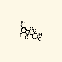 O=C1CCC(N2C(=O)c3cc(CBr)cc(F)c3C2=O)C(=O)N1